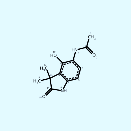 CC(=O)Nc1ccc2c(c1O)C(C)(C)C(=O)N2